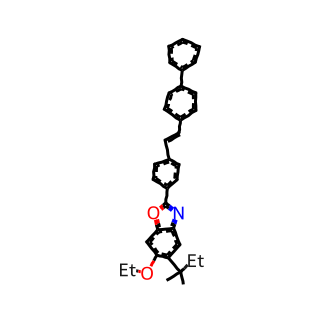 CCOc1cc2oc(-c3ccc(C=Cc4ccc(-c5ccccc5)cc4)cc3)nc2cc1C(C)(C)CC